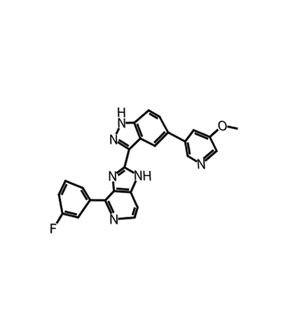 COc1cncc(-c2ccc3[nH]nc(-c4nc5c(-c6cccc(F)c6)nccc5[nH]4)c3c2)c1